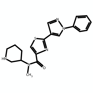 CN(C(=O)c1csc(-c2cnn(-c3ccccc3)c2)n1)C1CCCNC1